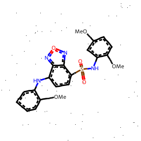 COc1ccc(OC)c(NS(=O)(=O)c2ccc(Nc3ccccc3OC)c3nonc23)c1